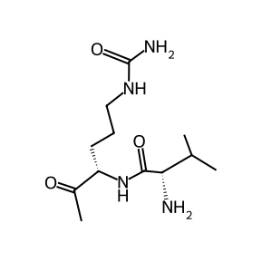 CC(=O)[C@H](CCCNC(N)=O)NC(=O)[C@@H](N)C(C)C